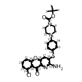 CC(C)(C)OC(=O)N1CCN(c2ccc(Sc3cc4oc5cccc(Cl)c5c(=O)c4nc3N)cc2)CC1